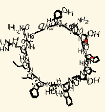 CCCC[C@H]1C(=O)N(C)[C@@H](CCCC)C(=O)N[C@@H](CCCNC(=N)N)C(=O)NC(C(=O)NCC(N)=O)CSCC(=O)N[C@@H](Cc2ccc(O)cc2)C(=O)N(C)[C@@H](C)C(=O)N[C@@H](CC(N)=O)C(=O)N2C[C@H](O)C[C@H]2C(=O)N[C@@H](Cc2ccc[nH]2)C(=O)N[C@@H](CC(C)C)C(=O)N2C[C@H](O)C[C@H]2C(=O)N[C@@H](Cc2c[nH]c3ccccc23)C(=O)N[C@@H](CO)C(=O)N[C@@H](Cc2csc3ccccc23)C(=O)N1C